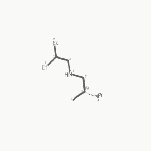 CCC(CC)CNC[C@@H](C)C(C)C